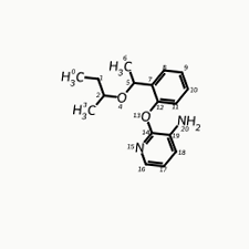 CCC(C)OC(C)c1ccccc1Oc1ncccc1N